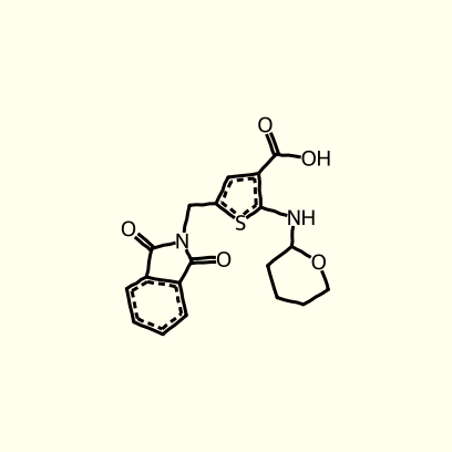 O=C(O)c1cc(CN2C(=O)c3ccccc3C2=O)sc1NC1CCCCO1